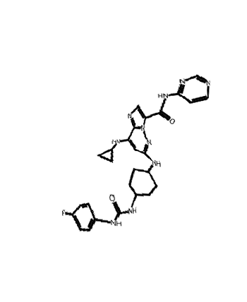 O=C(Nc1ccc(F)cc1)NC1CCC(Nc2cc(NC3CC3)c3ncc(C(=O)Nc4ccncn4)n3n2)CC1